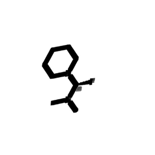 CN(C)[C@@H](F)N1CCCCC1